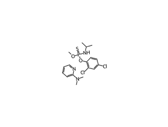 CN(C)c1ccccn1.COP(=S)(NC(C)C)Oc1ccc(Cl)cc1Cl